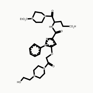 CCOC(=O)N1CCN(C(=O)C(CCC(=O)O)NC(=O)c2cc(OCC(=O)N3CCN(CCO)CC3)n(-c3ccccc3)n2)CC1